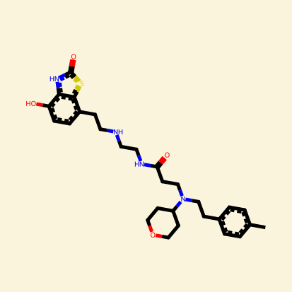 Cc1ccc(CCN(CCC(=O)NCCNCCc2ccc(O)c3[nH]c(=O)sc23)C2CCOCC2)cc1